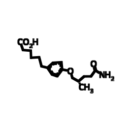 C[C@@H](CCC(N)=O)COc1ccc(CCCCCC(=O)O)cc1